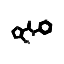 CC1=C(C(=O)Nc2cccnc2)SCC1